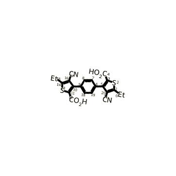 CCc1sc(C(=O)O)c(-c2ccc(-c3c(C(=O)O)sc(CC)c3C#N)cc2)c1C#N